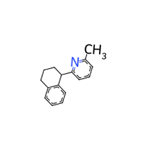 Cc1cccc(C2CCCc3ccccc32)n1